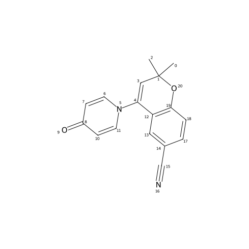 CC1(C)C=C(n2ccc(=O)cc2)c2cc(C#N)ccc2O1